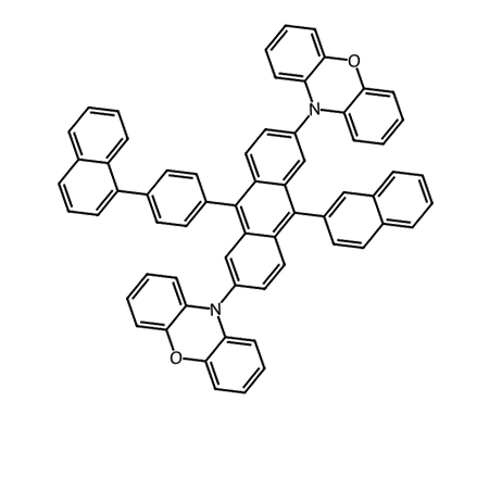 c1ccc2c(c1)Oc1ccccc1N2c1ccc2c(-c3ccc4ccccc4c3)c3cc(N4c5ccccc5Oc5ccccc54)ccc3c(-c3ccc(-c4cccc5ccccc45)cc3)c2c1